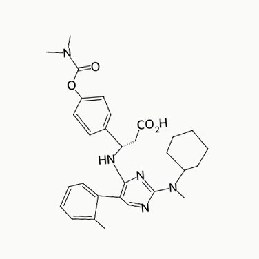 Cc1ccccc1-c1cnc(N(C)C2CCCCC2)nc1N[C@@H](CC(=O)O)c1ccc(OC(=O)N(C)C)cc1